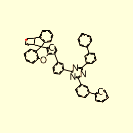 C1=CC2c3ccccc3C3(c4ccccc4Oc4c(-c5cccc(-c6nc(-c7cccc(-c8ccccc8)c7)nc(-c7cccc(-c8ccccc8)c7)n6)c5)cccc43)C2C=C1